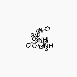 C=COC(C(=O)NC1CC1)[C@H](CCC)NC(=O)[C@@H]1C[C@]2(CC(c3ccccc3)=NO2)CN1C(=O)OCC1c2ccccc2-c2ccccc21